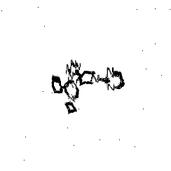 c1ccc(Cn2nnnc2C2(N3CCCN(C4CCC4)CC3)CCN(c3ncccn3)CC2)cc1